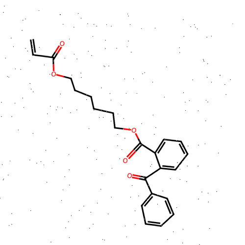 C=CC(=O)OCCCCCCOC(=O)c1ccccc1C(=O)c1ccccc1